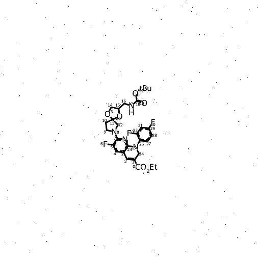 CCOC(=O)C1=Cc2cc(F)c(N3CCC4(C3)OCC(CNC(=O)OC(C)(C)C)O4)nc2N(c2ccc(F)cc2F)C1